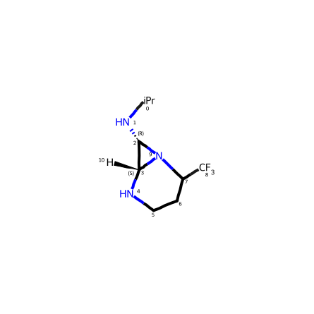 CC(C)N[C@H]1[C@H]2NCCC(C(F)(F)F)N21